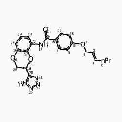 CCC/C=C/COc1ccc(C(=O)Nc2cccc3c2OC(c2nnn[nH]2)CO3)cc1